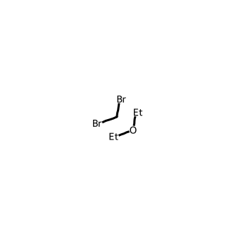 BrCBr.CCOCC